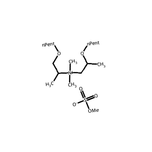 CCCCCOCC(C)[N+](C)(C)CC(C)OCCCCC.COS(=O)(=O)[O-]